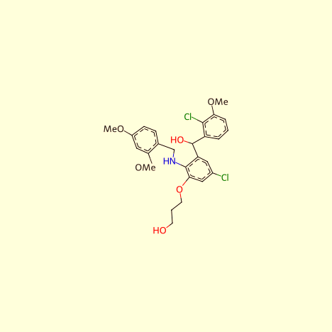 COc1ccc(CNc2c(OCCCO)cc(Cl)cc2C(O)c2cccc(OC)c2Cl)c(OC)c1